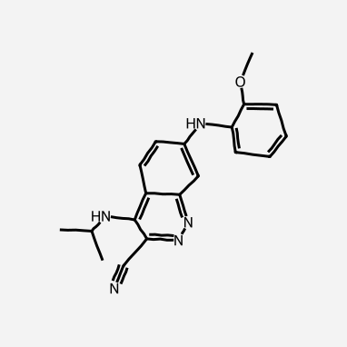 COc1ccccc1Nc1ccc2c(NC(C)C)c(C#N)nnc2c1